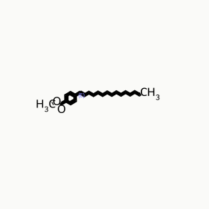 CCCCCCCCCCCCC/C=C/c1ccc(C(=O)OC)cc1